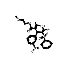 COCCOC(=O)C1=C(C)NC(N)=C(S(=O)(=O)c2ccccc2)C1c1cccc([N+](=O)[O-])c1